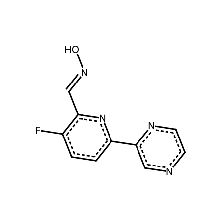 ON=Cc1nc(-c2cnccn2)ccc1F